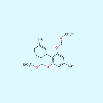 CCCc1cc(OCOC(=O)OCC)c(C2C=C(C)CCC2)c(OCOC(=O)OCC)c1